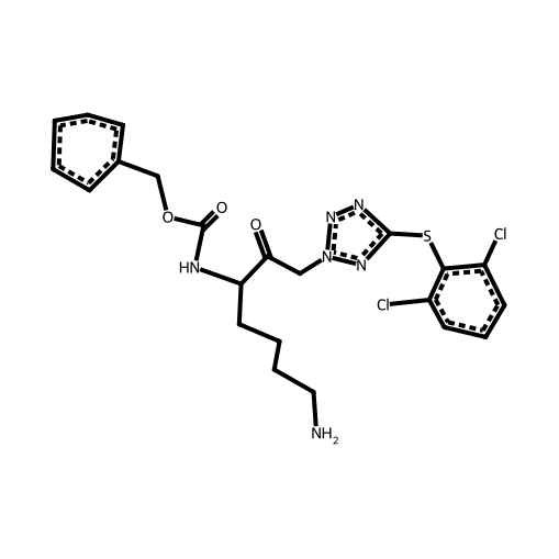 NCCCCC(NC(=O)OCc1ccccc1)C(=O)Cn1nnc(Sc2c(Cl)cccc2Cl)n1